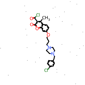 Cc1c(C(=O)Cl)c(=O)oc2cc(OCCCN3CCN(Cc4ccc(Cl)cc4)CC3)ccc12